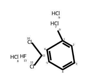 Cc1ccccc1.Cl.Cl.Cl.ClCCl.F